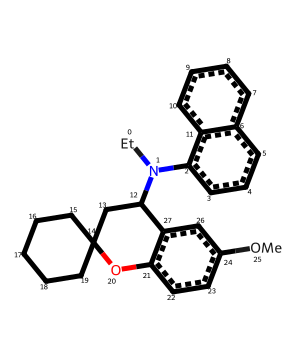 CCN(c1cccc2ccccc12)C1CC2(CCCCC2)Oc2ccc(OC)cc21